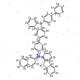 c1ccc(-c2ccc(C3c4ccccc4-c4cc(-c5ccc6c(c5)c5ccc7c(c5n6-c5ccc6ccccc6c5)Cc5ccccc5-7)ccc43)cc2)cc1